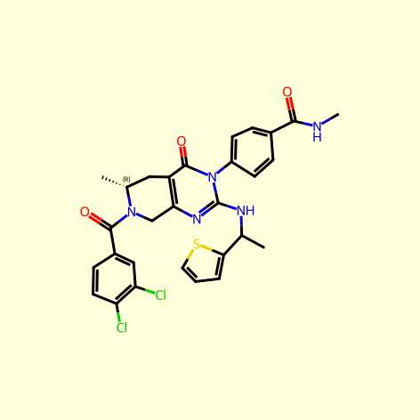 CNC(=O)c1ccc(-n2c(NC(C)c3cccs3)nc3c(c2=O)C[C@@H](C)N(C(=O)c2ccc(Cl)c(Cl)c2)C3)cc1